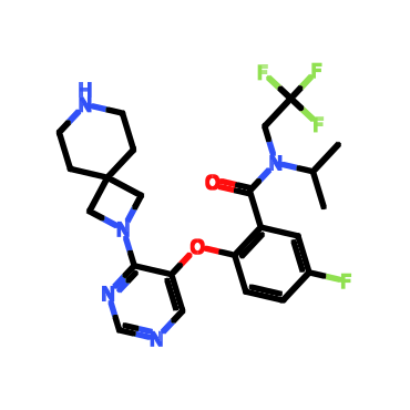 CC(C)N(CC(F)(F)F)C(=O)c1cc(F)ccc1Oc1cncnc1N1CC2(CCNCC2)C1